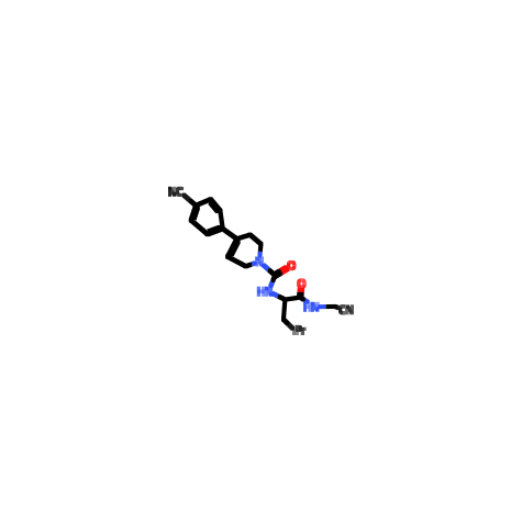 CC(C)CC(NC(=O)N1CC=C(c2ccc(C#N)cc2)CC1)C(=O)NCC#N